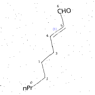 CCCCCC/C=C/C=O